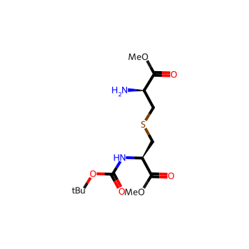 COC(=O)[C@H](N)CSC[C@H](NC(=O)OC(C)(C)C)C(=O)OC